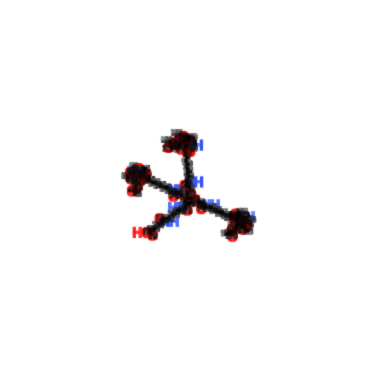 CC(=O)N[C@H]1[C@H](OCCCCCCCCCNC(=O)CCO[C@@H]2[C@H](OCCC(=O)NCCCCCCCCCO[C@@H]3O[C@H](COC(C)=O)[C@H](OC(C)=O)[C@H](OC(C)=O)[C@H]3NC(C)=O)C=C(C(=O)NCCCCCCNC(=O)CCCCC(=O)O)C[C@H]2OCCC(=O)NCCCCCCCCCO[C@@H]2O[C@H](COC(C)=O)[C@H](OC(C)=O)[C@H](OC(C)=O)[C@H]2NC(C)=O)O[C@H](COC(C)=O)[C@H](OC(C)=O)[C@@H]1OC(C)=O